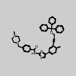 CC1CC=C(c2csc(NC(=O)c3ccc(CN4CCN(C)CC4)cc3)n2)C=C1C#CCOC(c1ccccc1)(c1ccccc1)c1ccccc1